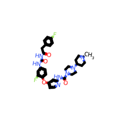 CN1CCC(N2CCN(C(=O)Nc3cc(Oc4ccc(NC(=O)NC(=O)Cc5ccc(F)cc5)cc4F)ccn3)CC2)CC1